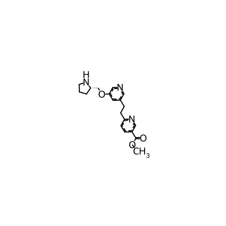 COC(=O)c1ccc(CCc2cncc(OC[C@@H]3CCCN3)c2)nc1